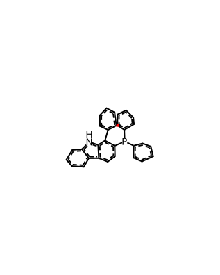 c1ccc(-c2c(P(c3ccccc3)c3ccccc3)ccc3c2[nH]c2ccccc23)cc1